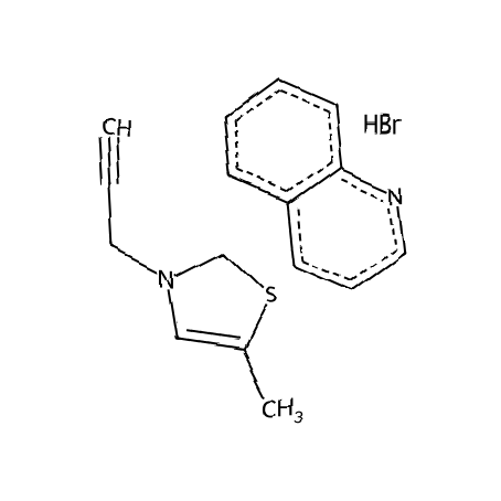 Br.C#CCN1C=C(C)SC1.c1ccc2ncccc2c1